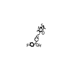 Cc1nc2scc(C)n2c(=O)c1CCN1CCC(C(O)c2ccc(F)cc2)CC1